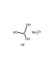 F.N.OB(O)O.[Zn]